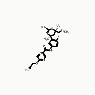 C#CCOc1cnc(C(=O)Nc2ccc(F)c([C@]3(C)C[C@](C)(COC)SC(N)=N3)c2)cn1